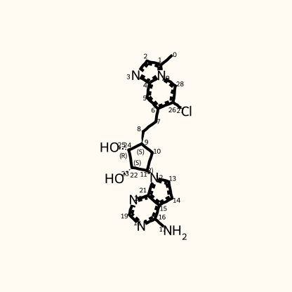 Cc1cnc2cc(CC[C@H]3C[C@@H](n4ccc5c(N)ncnc54)[C@H](O)[C@@H]3O)c(Cl)cn12